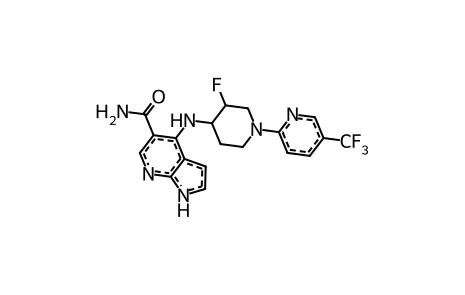 NC(=O)c1cnc2[nH]ccc2c1NC1CCN(c2ccc(C(F)(F)F)cn2)CC1F